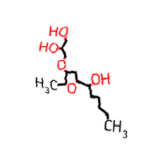 CCCCCC(O)C1CC(OCC(O)CO)C(C)O1